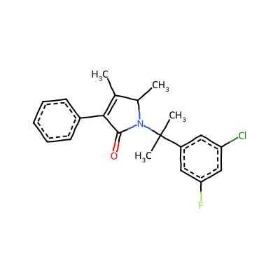 CC1=C(c2ccccc2)C(=O)N(C(C)(C)c2cc(F)cc(Cl)c2)C1C